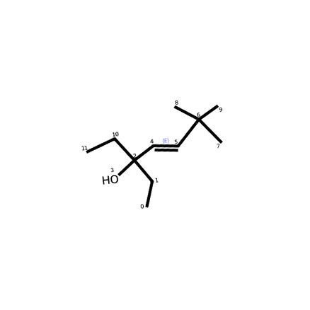 CCC(O)(/C=C/C(C)(C)C)CC